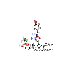 COc1ccc([C@@]23CC[C@@H](NC(=O)NCc4ccc(Br)cc4)C[C@@H]2N(C)CC3)cc1OC.O=C(O)C(F)(F)F